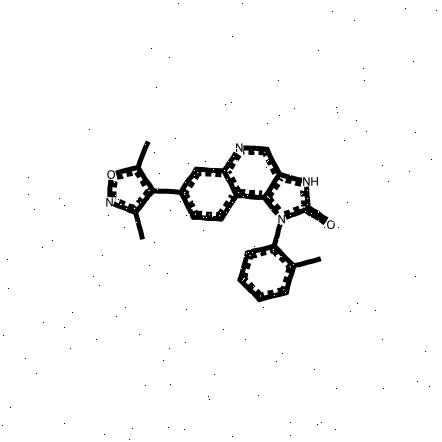 Cc1ccccc1-n1c(=O)[nH]c2cnc3cc(-c4c(C)noc4C)ccc3c21